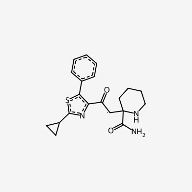 NC(=O)C1([CH]C(=O)c2nc(C3CC3)sc2-c2ccccc2)CCCCN1